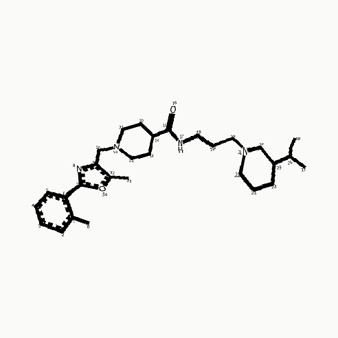 Cc1ccccc1-c1nc(CN2CCC(C(=O)NCCCN3CCCC(C(C)C)C3)CC2)c(C)o1